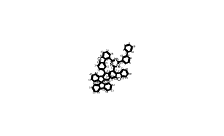 c1ccc(-c2cccc(-c3nc(-c4cccc5oc6ccccc6c45)nc(-c4cccc5oc6ccc(-c7cccc8c7-c7ccccc7C87c8ccccc8-c8ccccc87)cc6c45)n3)c2)cc1